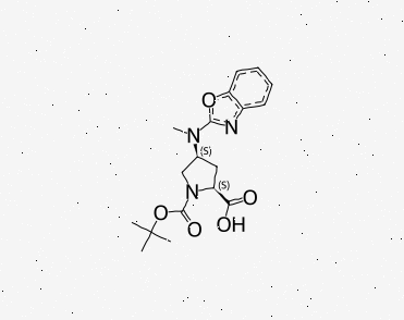 CN(c1nc2ccccc2o1)[C@H]1C[C@@H](C(=O)O)N(C(=O)OC(C)(C)C)C1